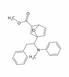 COC(=O)C1=CC2(C(Cc3ccccc3)N(C)c3ccccc3)C=CC1O2